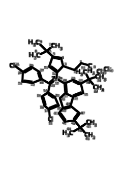 CCCC1C=C(C(C)(C)C)C=[C]1[Zr+2](=[C](c1ccc(Cl)cc1)c1ccc(Cl)cc1)[c]1cc(C(C)(C)C)cc2c1Cc1ccc(C(C)(C)C)cc1-2.[Cl-].[Cl-]